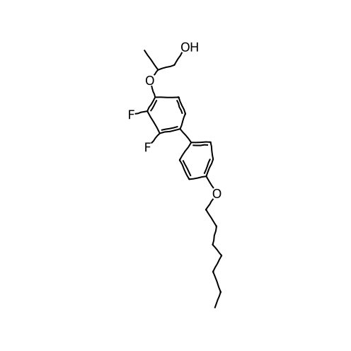 CCCCCCCOc1ccc(-c2ccc(OC(C)CO)c(F)c2F)cc1